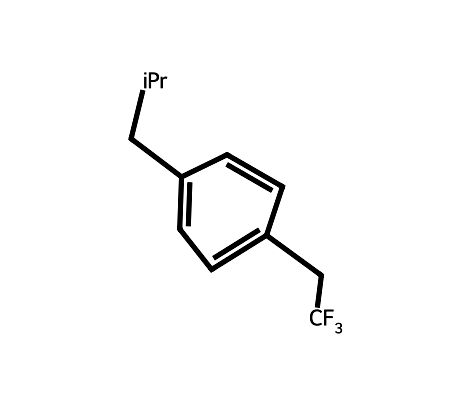 CC(C)Cc1ccc(CC(F)(F)F)cc1